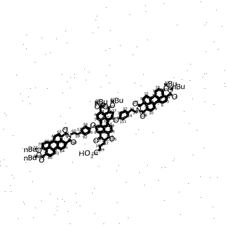 CCCCOC(=O)c1ccc2c3ccc4c5c(ccc(c6ccc(OCCCC)c1c62)c53)C(=O)N(CCc1ccc(Oc2cc(C(=O)OCCCC)c3c(C(=O)OCCCC)ccc5c6c(Oc7ccc(CCN8C(=O)c9ccc%10c%11ccc(OCCCC)c%12c(C(=O)OCCCC)ccc(c%13ccc(c9c%10%13)C8=O)c%12%11)cc7)cc7c8c(ccc(c2c35)c86)C(=O)C(CCCC(=O)O)C7=O)cc1)C4=O